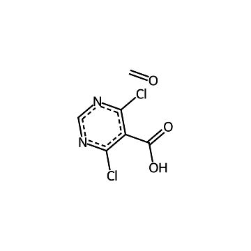 C=O.O=C(O)c1c(Cl)ncnc1Cl